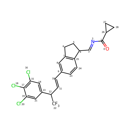 O=C(/N=C/C1CCc2cc(/C=C/C(c3cc(Cl)c(Cl)c(Cl)c3)C(F)(F)F)ccc21)C1CC1